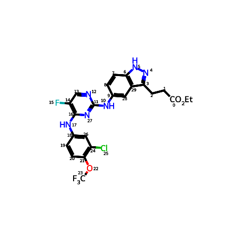 CCOC(=O)CCc1n[nH]c2ccc(Nc3ncc(F)c(Nc4ccc(OC(F)(F)F)c(Cl)c4)n3)cc12